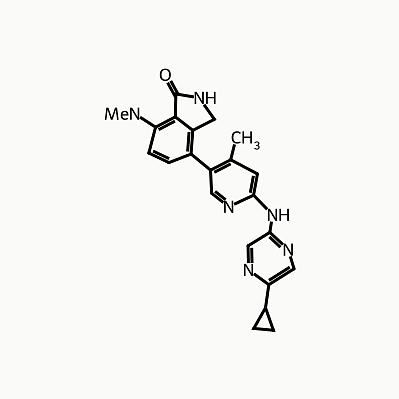 CNc1ccc(-c2cnc(Nc3cnc(C4CC4)cn3)cc2C)c2c1C(=O)NC2